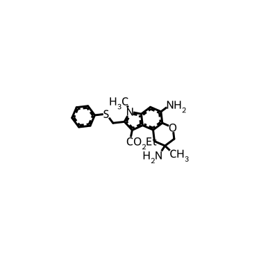 CCOC(=O)c1c(CSc2ccccc2)n(C)c2cc(N)c3c(c12)CC(C)(N)CO3